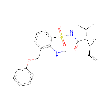 C=C[C@@H]1C[C@@]1(C(=O)NS(=O)(=O)c1cccc(COc2ccccc2)c1NC)C(C)C